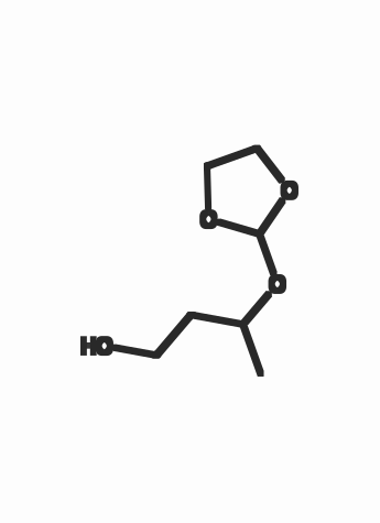 CC(CCO)OC1OCCO1